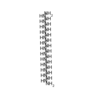 NNNNNNNNNNNNNNNNNNNNNNNNNNN